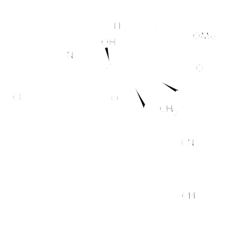 C=C(/C=C\C(C#N)=C/C)[C@@]12Oc3cc(Cl)cnc3[C@]1(O)[C@H]1C[C@@]1(C(=O)OC)[C@H]2c1ccccc1